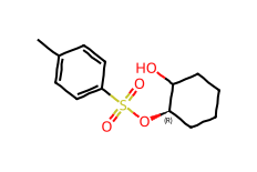 Cc1ccc(S(=O)(=O)O[C@@H]2CCCCC2O)cc1